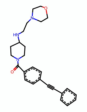 O=C(c1ccc(C#Cc2ccccc2)cc1)N1CCC(NCCN2CCOCC2)CC1